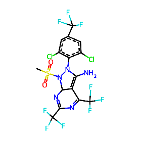 CS(=O)(=O)N1C2N=C(C(F)(F)F)N=C(C(F)(F)F)C2=C(N)N1c1c(Cl)cc(C(F)(F)F)cc1Cl